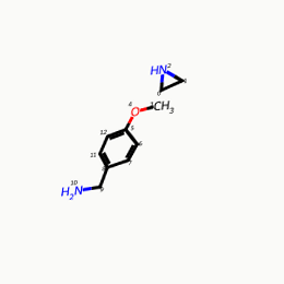 C1CN1.COc1ccc(CN)cc1